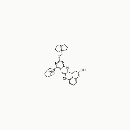 Oc1cc(-c2ncc3c(N4CC5CCC(C4)N5)nc(OCC45CCCN4CCC5)nc3n2)c2c(Cl)cccc2c1